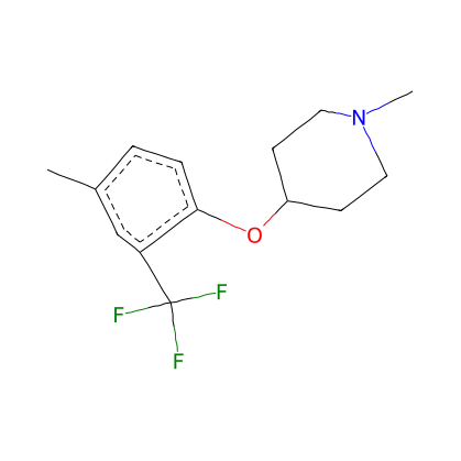 Cc1ccc(OC2CCN(C)CC2)c(C(F)(F)F)c1